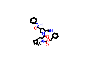 CN(C(=O)OCc1ccccc1)C(CC1CCC1)C(=O)N1CC(C(=O)Nc2ccccc2)CC1C#N